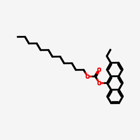 CCCCCCCCCCCCOC(=O)Oc1c2ccccc2cc2ccc(CC)cc12